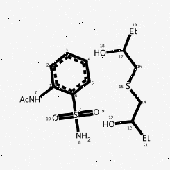 CC(=O)Nc1ccccc1S(N)(=O)=O.CCC(O)CSCC(O)CC